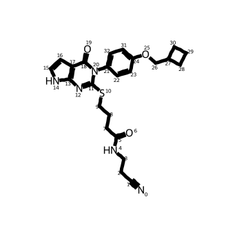 N#CCCNC(=O)CCCSc1nc2[nH]ccc2c(=O)n1-c1ccc(OCC2CCC2)cc1